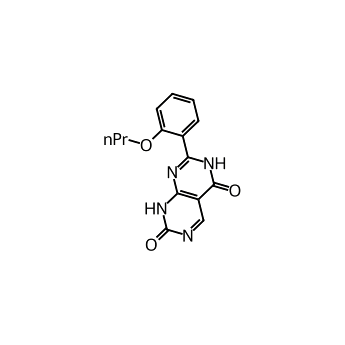 CCCOc1ccccc1-c1nc2[nH]c(=O)ncc2c(=O)[nH]1